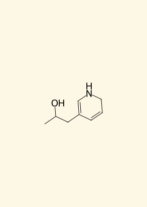 CC(O)CC1=CNCC=C1